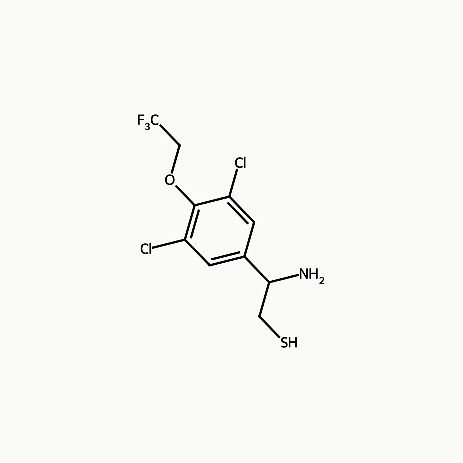 NC(CS)c1cc(Cl)c(OCC(F)(F)F)c(Cl)c1